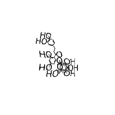 O=C(CCc1ccc(O)c(O)c1)c1c(O)cc(O)cc1O[C@@H]1O[C@H](CO)[C@@H](O)[C@H](O)[C@H]1O